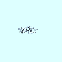 CN1CCC2(CCc3c(OS(=O)(=O)C(F)(F)F)ccc(I)c32)CC1